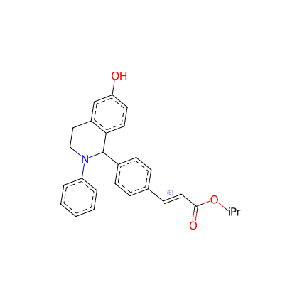 CC(C)OC(=O)/C=C/c1ccc(C2c3ccc(O)cc3CCN2c2ccccc2)cc1